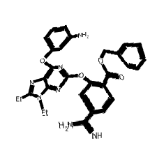 CCc1nc2c(Oc3cccc(N)c3)nc(Oc3cc(C(=N)N)ccc3C(=O)OCc3ccccc3)nc2n1CC